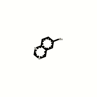 CCC(C)c1ccc2ncncc2c1